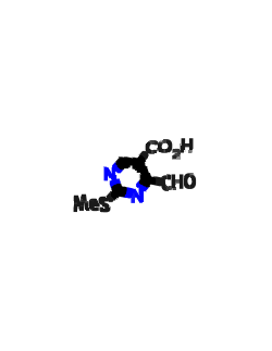 CSc1ncc(C(=O)O)c(C=O)n1